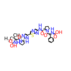 CC(C)[C@H](NC(=O)O)C(=O)N1CCC[C@H]1c1ncc(-c2cn3cc(NC(=O)[C@@H]4CCCN4C(=O)[C@H](NC(=O)O)c4ccccc4)nc3s2)[nH]1